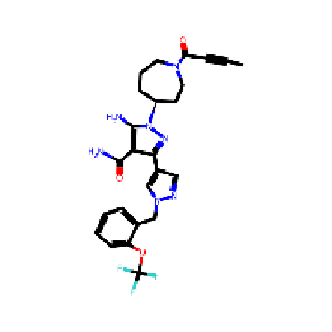 CC#CC(=O)N1CCC[C@H](n2nc(-c3cnn(Cc4ccccc4OC(F)(F)F)c3)c(C(N)=O)c2N)CC1